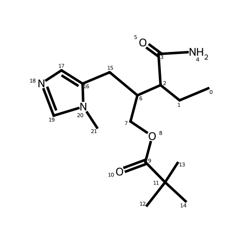 CCC(C(N)=O)C(COC(=O)C(C)(C)C)Cc1cncn1C